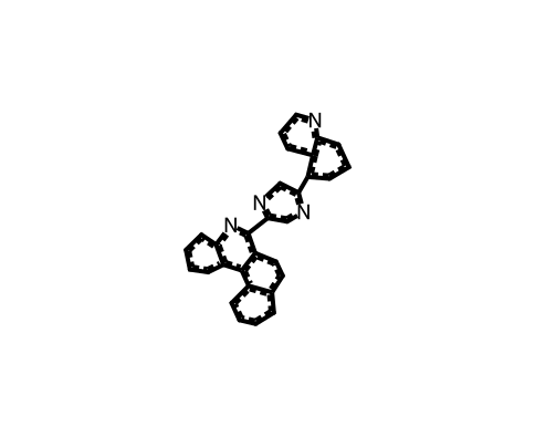 c1ccc2c(c1)ccc1c(-c3cnc(-c4cccc5ncccc45)cn3)nc3ccccc3c12